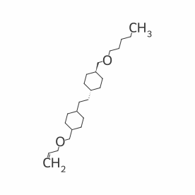 C=CCOCC1CCC(CC[C@H]2CC[C@H](COCCCCC)CC2)CC1